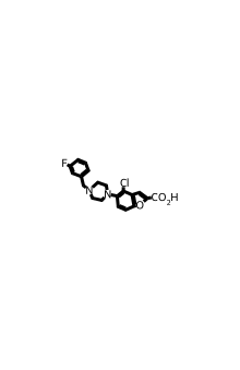 O=C(O)c1cc2c(Cl)c(N3CCN(Cc4cccc(F)c4)CC3)ccc2o1